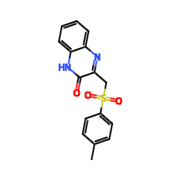 Cc1ccc(S(=O)(=O)Cc2nc3ccccc3[nH]c2=O)cc1